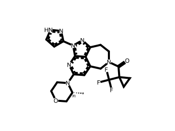 C[C@@H]1COCCN1c1cc2c3c(nn(-c4cc[nH]n4)c3n1)CCN(C(=O)C1(C(F)(F)F)CC1)C2